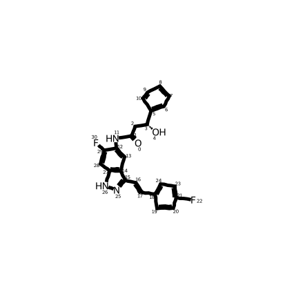 O=C(C[C@@H](O)c1ccccc1)Nc1cc2c(/C=C/c3ccc(F)cc3)n[nH]c2cc1F